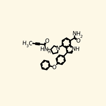 CC#CC(=O)N[C@@H]1CCN(c2ccc(C(N)=O)c3[nH]cc(-c4ccc(Oc5ccccc5)cc4)c23)C1